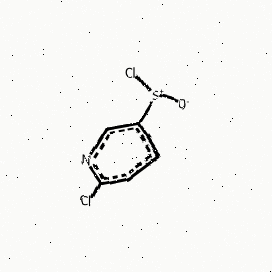 [O-][S+](Cl)c1ccc(Cl)nc1